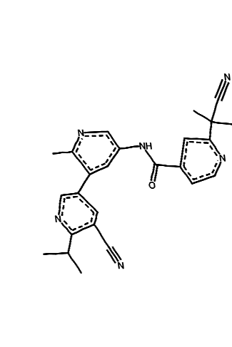 Cc1ncc(NC(=O)c2ccnc(C(C)(C)C#N)c2)cc1-c1cnc(C(C)C)c(C#N)c1